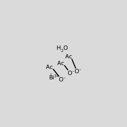 CC(=O)[O-].CC(=O)[O-].CC(=O)[O-].O.[Bi+3]